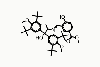 COC(=O)c1ccc(O)c(C=NC(C)C(O)(c2cc(C(C)(C)C)c(OC)c(C(C)(C)C)c2)c2cc(C(C)(C)C)c(OC)c(C(C)(C)C)c2)c1